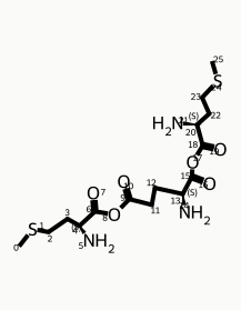 CSCC[C@H](N)C(=O)OC(=O)CC[C@H](N)C(=O)OC(=O)[C@@H](N)CCSC